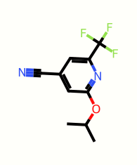 CC(C)Oc1cc(C#N)cc(C(F)(F)F)n1